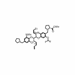 C=C/C=C\C[C@@H](Oc1c(NC)cc(CN2CCCC2)cc1C(F)(F)F)C(C/C=C\CC)Oc1cc(OC(F)F)c(CN2CCC[C@H]2C(=O)OC)cc1NC